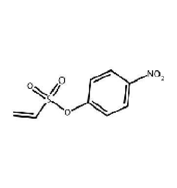 C=CS(=O)(=O)Oc1ccc([N+](=O)[O-])cc1